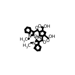 CCn1c(C)c(C(=O)c2cc(C(=O)c3c(C)n(CC)c4ccccc34)c(C(=O)O)cc2C(=O)O)c2ccccc21